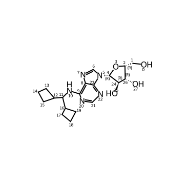 OC[C@H]1O[C@@H](n2cnc3c(NC(C4CCC4)C4CCC4)ncnc32)[C@H](O)[C@H]1O